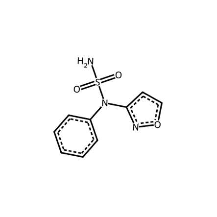 NS(=O)(=O)N(c1ccccc1)c1ccon1